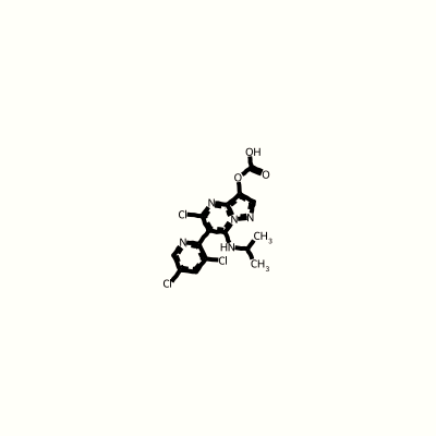 CC(C)Nc1c(-c2ncc(Cl)cc2Cl)c(Cl)nc2c(OC(=O)O)cnn12